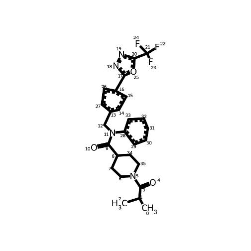 CC(C)C(=O)N1CCC(C(=O)N(Cc2ccc(-c3nnc(C(F)(F)F)o3)cc2)c2ccccc2)CC1